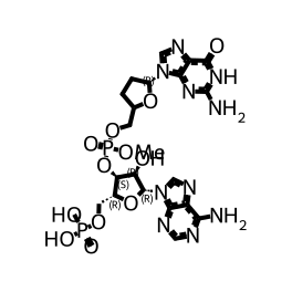 COP(=O)(OCC1CC[C@H](n2cnc3c(=O)[nH]c(N)nc32)O1)O[C@H]1[C@@H](O)[C@H](n2cnc3c(N)ncnc32)O[C@@H]1COP(=O)(O)O